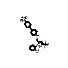 CS(=O)(=O)c1ccc(-c2ccc(OCc3cc(C(F)(F)F)nn3-c3ccccc3Cl)cc2)cc1